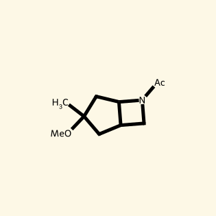 COC1(C)CC2CN(C(C)=O)C2C1